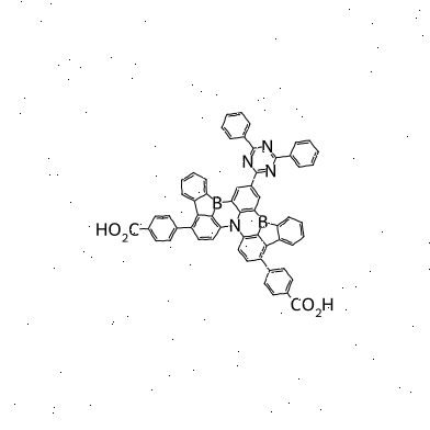 O=C(O)c1ccc(-c2ccc3c4c2-c2ccccc2B4c2cc(-c4nc(-c5ccccc5)nc(-c5ccccc5)n4)cc4c2N3c2ccc(-c3ccc(C(=O)O)cc3)c3c2B4c2ccccc2-3)cc1